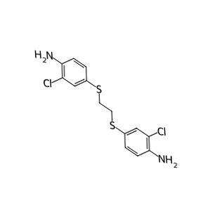 Nc1ccc(SCCSc2ccc(N)c(Cl)c2)cc1Cl